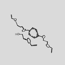 C=COCCO.C=COCCOc1ccc(OCCOC=C)cc1